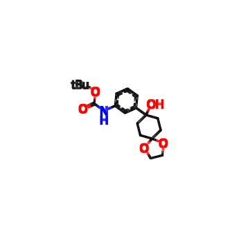 CC(C)(C)OC(=O)Nc1cccc(C2(O)CCC3(CC2)OCCO3)c1